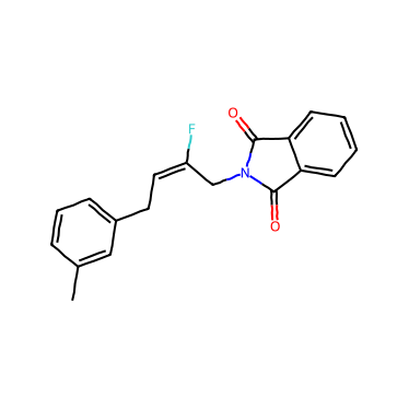 Cc1cccc(C/C=C(/F)CN2C(=O)c3ccccc3C2=O)c1